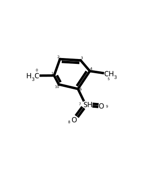 Cc1ccc(C)c([SH](=O)=O)c1